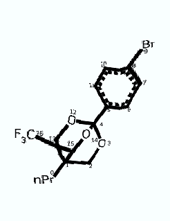 CCCC12COC(c3ccc(Br)cc3)(OC1)OC2C(F)(F)F